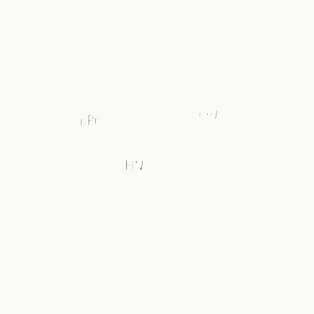 CCC[C@H](C)NC1CCCC1O